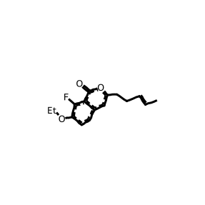 C/C=C/CCc1cc2ccc(OCC)c(F)c2c(=O)o1